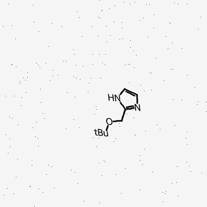 CC(C)(C)OCc1ncc[nH]1